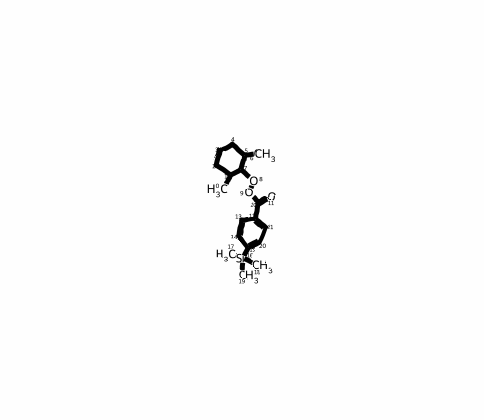 CC1CCCC(C)[C]1OOC(=O)c1ccc([Si](C)(C)C)cc1